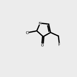 O=C1C(CF)=[C][N]C1Cl